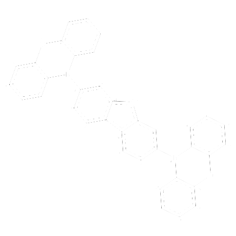 c1ccc2c(c1)Oc1ccccc1B2c1ccc2c(c1)sc1cc(B3c4ccccc4Oc4ccccc43)ccc12